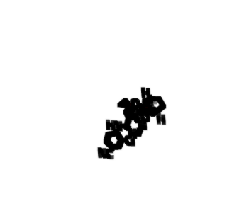 CC1(OC(=O)N2[C@H]3CC[C@H]2CC(n2ccc4c(Nc5ccc(C#N)cc5Cl)ncnc42)C3)CC1